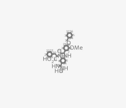 COc1cc([C@@H](Nc2ccc(C(=N)NO)cc2)C(=O)N[C@@H](Cc2ccccc2)C(=O)O)ccc1OCc1ccccc1